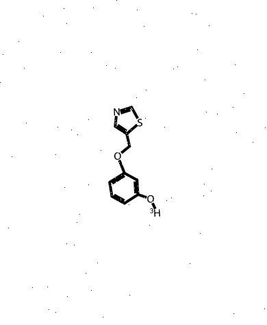 [3H]Oc1cccc(OCc2cncs2)c1